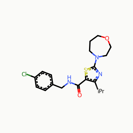 CC(C)c1nc(N2CCCOCC2)sc1C(=O)NCc1ccc(Cl)cc1